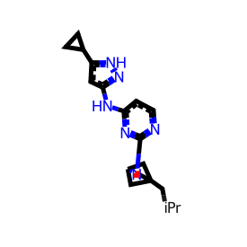 CC(C)CC12CC(C1)N(c1nccc(Nc3cc(C4CC4)[nH]n3)n1)C2